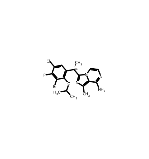 Cc1nc([C@@H](C)c2cc(Cl)c(F)c(Br)c2OC(C)C)n2ccnc(N)c12